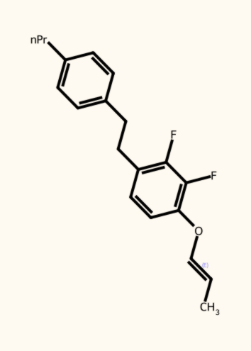 C/C=C/Oc1ccc(CCc2ccc(CCC)cc2)c(F)c1F